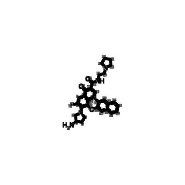 N[C@@H]1CCN(c2c(F)cc3c(=O)c(C(=O)NCCN4CCCC4)cn4c3c2Oc2cc3ccccc3cc2-4)C1